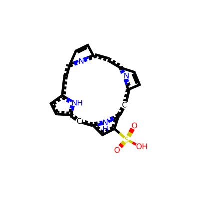 O=S(=O)(O)c1cc2cc3ccc(cc4nc(cc5nc(cc1[nH]2)C=C5)C=C4)[nH]3